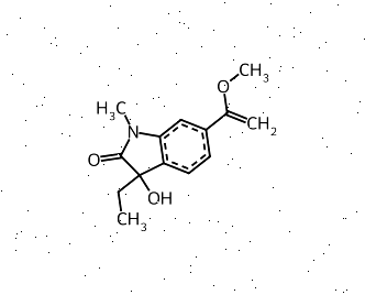 C=C(OC)c1ccc2c(c1)N(C)C(=O)C2(O)CC